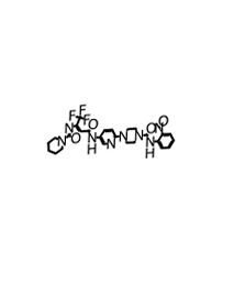 O=Nc1ccccc1NC(=O)N1CCN(c2ccc(NC(=O)c3oc(N4CCCCC4)nc3C(F)(F)F)cn2)CC1